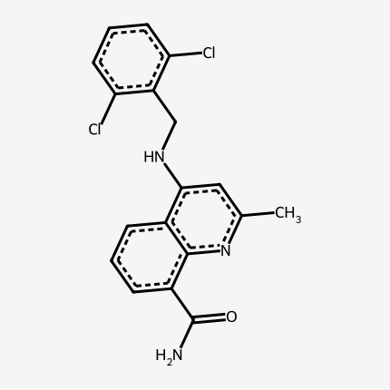 Cc1cc(NCc2c(Cl)cccc2Cl)c2cccc(C(N)=O)c2n1